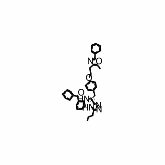 CCCc1nnc([C@H](Cc2ccc(OCCc3nc(-c4ccccc4)oc3C)cc2)Nc2ccccc2C(=O)c2ccccc2)[nH]1